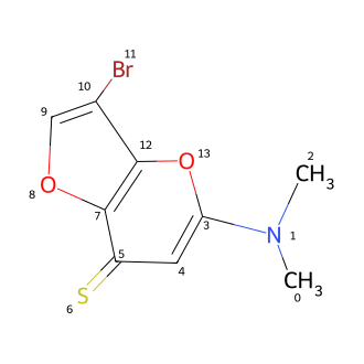 CN(C)c1cc(=S)c2occ(Br)c2o1